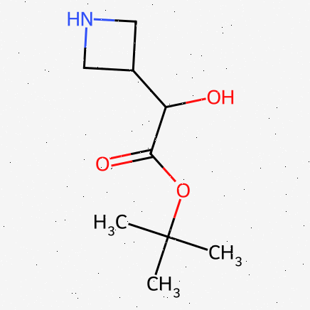 CC(C)(C)OC(=O)C(O)C1CNC1